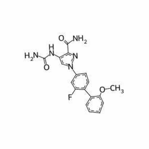 COc1ccccc1-c1ccc(-n2cc(NC(N)=O)c(C(N)=O)n2)cc1F